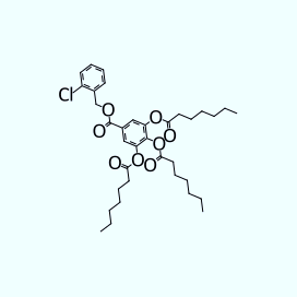 CCCCCCC(=O)Oc1cc(C(=O)OCc2ccccc2Cl)cc(OC(=O)CCCCCC)c1OC(=O)CCCCCC